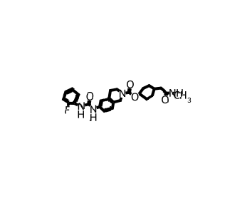 CNC(=O)CC1CCC(OC(=O)N2CCc3cc(NC(=O)Nc4ccccc4F)ccc3C2)CC1